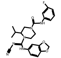 CC(C)C1CN(C(=O)Nc2cccc(F)c2)CCN1/C(=N/C#N)Nc1ccc2c(c1)OCO2